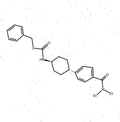 CCN(CC)C(=O)c1ccc([C@H]2CC[C@H](NC(=O)OCc3ccccc3)CC2)cc1